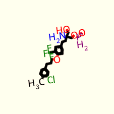 Cc1ccc(CCCOc2ccc(CCC(N)(CO)CO[PH2]=O)cc2C(F)(F)F)cc1Cl